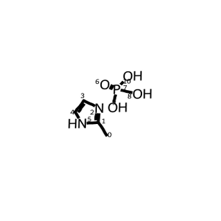 Cc1ncc[nH]1.O=P(O)(O)O